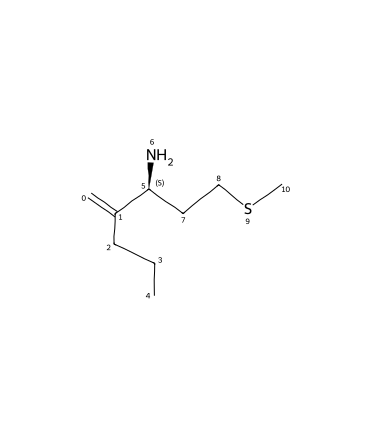 C=C(CCC)[C@@H](N)CCSC